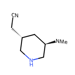 CN[C@H]1CNC[C@H](CC#N)C1